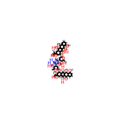 COc1cccc2c1C(=O)c1c(O)c3c(c(O)c1C2=O)C[C@@](O)(C(C)=O)C[C@@H]3OC1CC(N(N)C(=O)N(N)C2CC(O[C@H]3C[C@](O)(C(C)=O)Cc4c(O)c5c(c(O)c43)C(=O)c3c(OC)cccc3C5=O)OC(C)C2O)C(O)C(C)O1